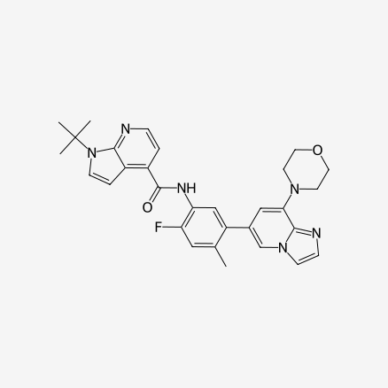 Cc1cc(F)c(NC(=O)c2ccnc3c2ccn3C(C)(C)C)cc1-c1cc(N2CCOCC2)c2nccn2c1